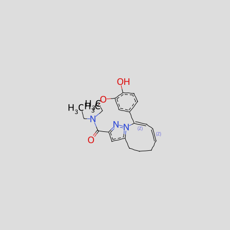 CCN(CC)C(=O)c1cc2n(n1)/C(c1ccc(O)c(OC)c1)=C\C=C/CCC2